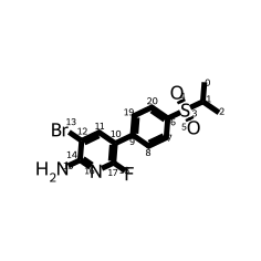 CC(C)S(=O)(=O)c1ccc(-c2cc(Br)c(N)nc2F)cc1